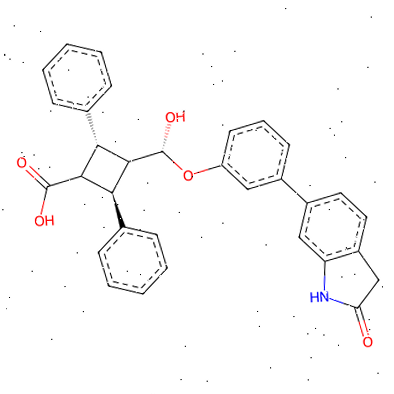 O=C1Cc2ccc(-c3cccc(O[C@@H](O)C4[C@@H](c5ccccc5)C(C(=O)O)[C@@H]4c4ccccc4)c3)cc2N1